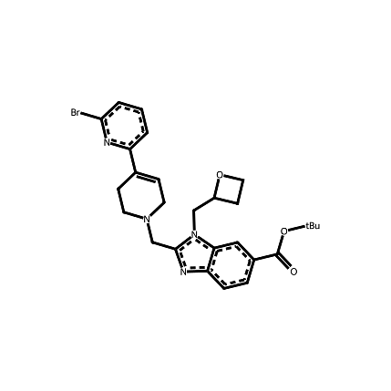 CC(C)(C)OC(=O)c1ccc2nc(CN3CC=C(c4cccc(Br)n4)CC3)n(CC3CCO3)c2c1